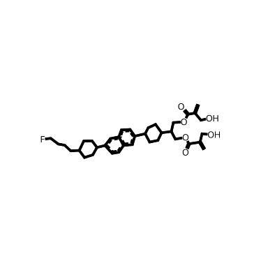 C=C(CO)C(=O)OCC(COC(=O)C(=C)CO)C1CCC(c2ccc3cc(C4CCC(CCCCF)CC4)ccc3c2)CC1